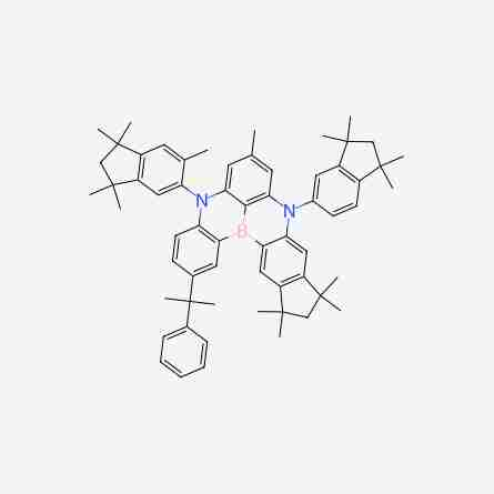 Cc1cc2c3c(c1)N(c1cc4c(cc1C)C(C)(C)CC4(C)C)c1ccc(C(C)(C)c4ccccc4)cc1B3c1cc3c(cc1N2c1ccc2c(c1)C(C)(C)CC2(C)C)C(C)(C)CC3(C)C